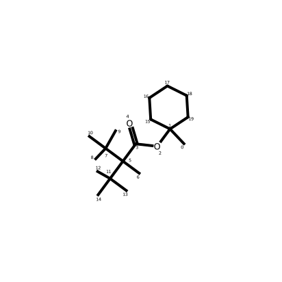 CC1(OC(=O)C(C)(C(C)(C)C)C(C)(C)C)CCCCC1